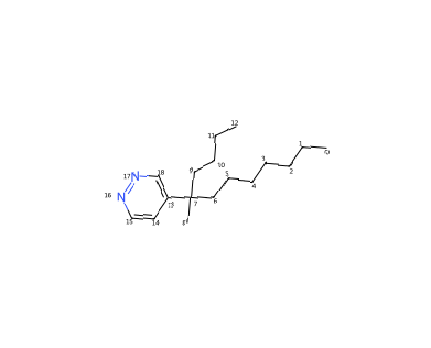 CCCCCCCC(C)(CCCC)c1ccnnc1